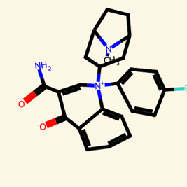 CN1C2CCC1CC([N+]1(c3ccc(F)cc3)C=C(C(N)=O)C(=O)c3ccccc31)C2